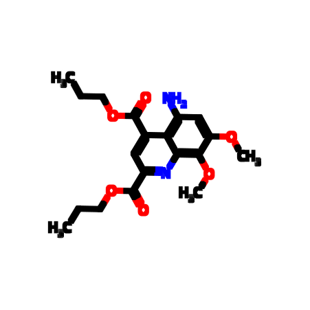 CCCOC(=O)c1cc(C(=O)OCCC)c2c(N)cc(OC)c(OC)c2n1